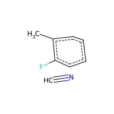 C#N.Cc1ccccc1F